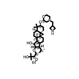 CCO[C@@H]([C@H]1C[C@@H](C)[C@H]2[C@H](O1)[C@H](O)[C@@]1(C)[C@@H]3CC[C@H]4C(C)(C)[C@@H](O[C@H]5CN(CC6CNC6)CCO5)CC[C@@]45C[C@@]35CC[C@]21C)C(C)(C)O